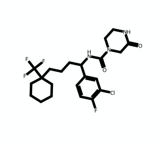 O=C1CN(C(=O)NC(CCCC2(C(F)(F)F)CCCCC2)c2ccc(F)c(Cl)c2)CCN1